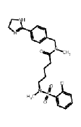 CN(Cc1ccc(C2=NCCN2)cc1)C(=O)CCCCN(C)S(=O)(=O)c1ccccc1Cl